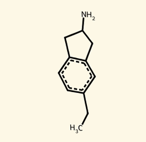 CCc1ccc2c(c1)CC(N)C2